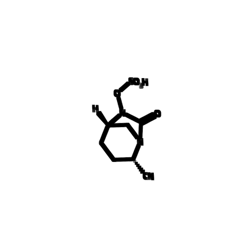 N#C[C@@H]1CC[C@H]2CN1C(=O)N2OS(=O)(=O)O